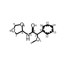 COC(C(=O)NC1COCO1)c1ccccc1